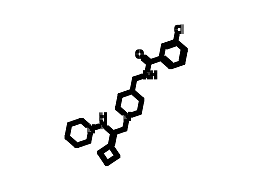 O=C(NCC1CCN(CC(NN2CCCCC2)=C2CCC2)CC1)c1cccc(Cl)c1